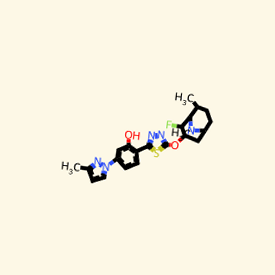 Cc1ccn(-c2ccc(-c3nnc(OC4CC5CCC(C)C(C4F)N5C)s3)c(O)c2)n1